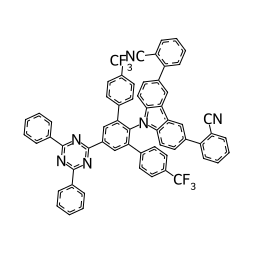 N#Cc1ccccc1-c1ccc2c(c1)c1cc(-c3ccccc3C#N)ccc1n2-c1c(-c2ccc(C(F)(F)F)cc2)cc(-c2nc(-c3ccccc3)nc(-c3ccccc3)n2)cc1-c1ccc(C(F)(F)F)cc1